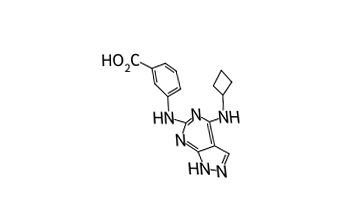 O=C(O)c1cccc(Nc2nc(NC3CCC3)c3cn[nH]c3n2)c1